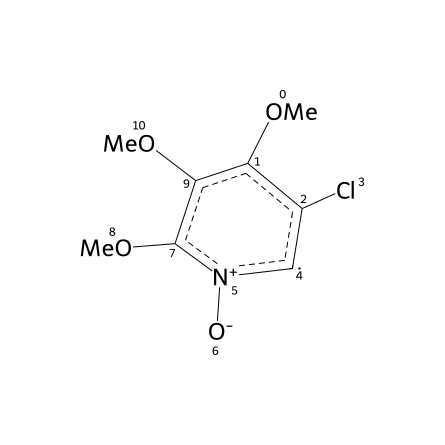 COc1c(Cl)[c][n+]([O-])c(OC)c1OC